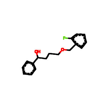 OC(CCCOCc1ccccc1F)c1ccccc1